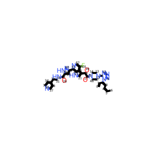 C=C/C(=C\C=C/C)n1nnnc1N1CCN(C(=O)C(=O)c2c[nH]c3c(-c4cc(C(=O)NCCc5ccncc5)[nH]n4)ncc(F)c23)CC1